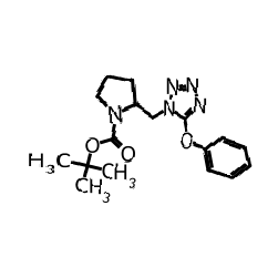 CC(C)(C)OC(=O)N1CCCC1Cn1nnnc1Oc1ccccc1